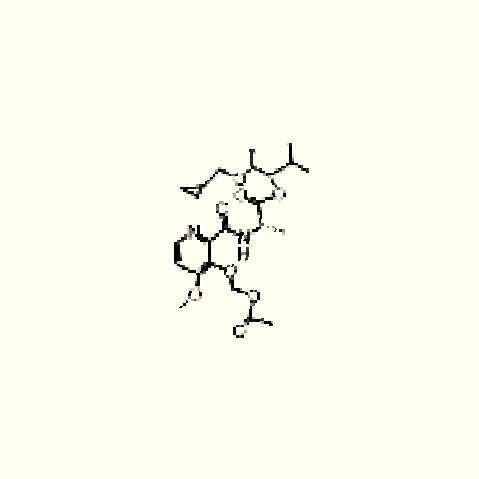 COc1ccnc(C(=O)N[C@@H](C)C(=O)O[C@H](C(C)C)[C@H](C)OCC2CC2)c1OCOC(C)=O